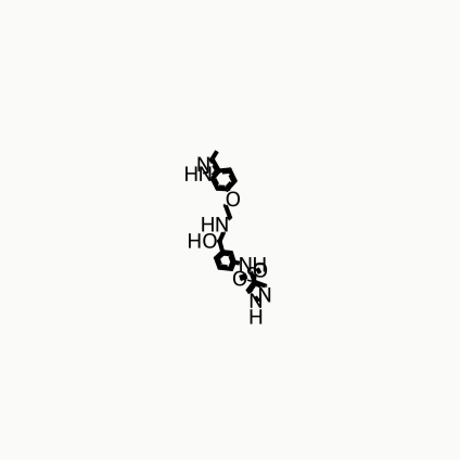 Cc1n[nH]c2cc(OCCNC[C@H](O)c3cccc(NS(=O)(=O)c4cn[nH]c4)c3)ccc12